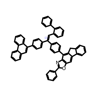 C(=C(\c1ccc(-c2cc3ccccc3c3ccccc23)cc1)c1ccc(-c2c3c(cc4oc(-c5ccccc5)nc24)-c2ccccc2C3)cc1)/c1ccccc1-c1ccccc1